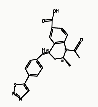 CC(=O)N1c2ccc(C(=O)O)cc2[C@H](Nc2ccc(-c3cnns3)cc2)C[C@@H]1C